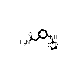 NC(=O)Cc1cccc(Nc2ncco2)c1